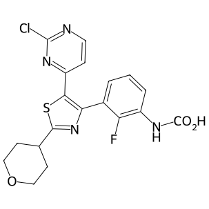 O=C(O)Nc1cccc(-c2nc(C3CCOCC3)sc2-c2ccnc(Cl)n2)c1F